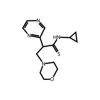 S=C(NC1CC1)C(CN1CCOCC1)c1cnccn1